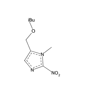 CCC(C)OCc1cnc([N+](=O)[O-])n1C